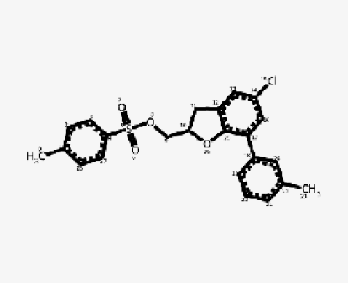 Cc1ccc(S(=O)(=O)OCC2Cc3cc(Cl)cc(-c4cccc(C)c4)c3O2)cc1